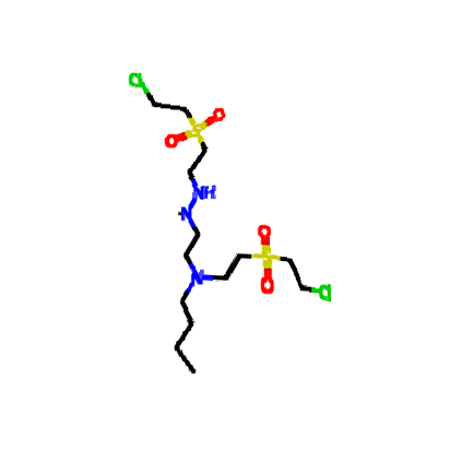 CCCCN(CC[N]NCCS(=O)(=O)CCCl)CCS(=O)(=O)CCCl